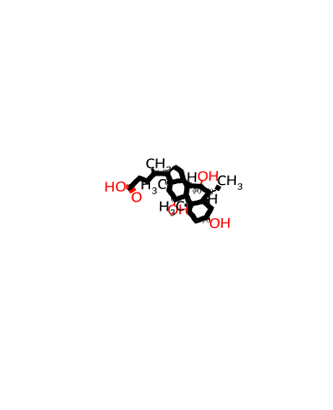 CC[C@H]1[C@@H](O)[C@H]2C3CC[C@H]([C@H](C)CCC(=O)O)[C@@]3(C)C[C@@H](O)C2[C@@]2(C)CC[C@@H](O)C[C@@H]12